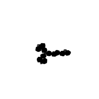 c1ccc2c(c1)oc1cc(-c3ccc4cc(-c5ccc(N(c6ccc(-c7cccc8oc9ccccc9c78)cc6)c6ccc(-c7cccc8sc9ccccc9c78)cc6)cc5)ccc4c3)ccc12